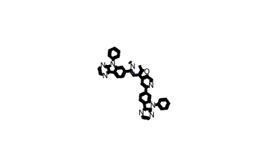 C=N/C(=C\c1c(C)oc2cnc(-c3ccc4c5nccnc5n(-c5ccccc5)c4c3)cc12)c1ccc2c3nccnc3n(-c3ccccc3)c2c1